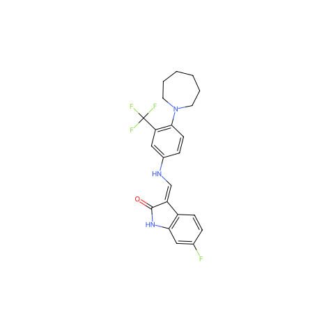 O=C1Nc2cc(F)ccc2C1=CNc1ccc(N2CCCCCC2)c(C(F)(F)F)c1